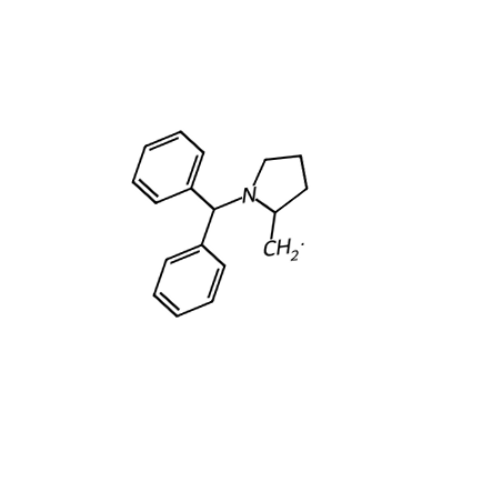 [CH2]C1CCCN1C(c1ccccc1)c1ccccc1